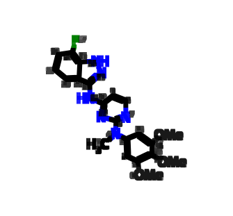 COc1cc(N(C)c2nccc(Nc3n[nH]c4c(F)cccc34)n2)cc(OC)c1OC